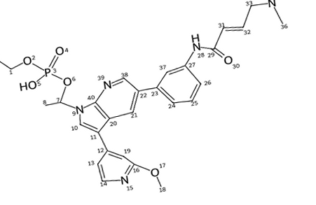 CCOP(=O)(O)OC(C)n1cc(-c2ccnc(OC)c2)c2cc(-c3cccc(NC(=O)C=CCN(C)C)c3)cnc21